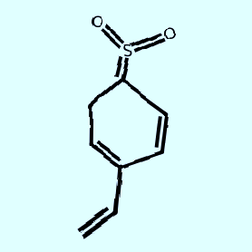 C=CC1=CCC(=S(=O)=O)C=C1